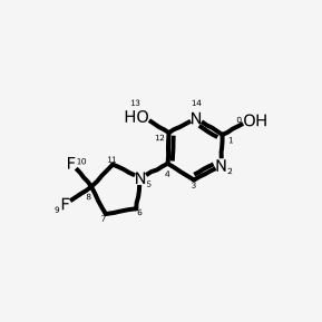 Oc1ncc(N2CCC(F)(F)C2)c(O)n1